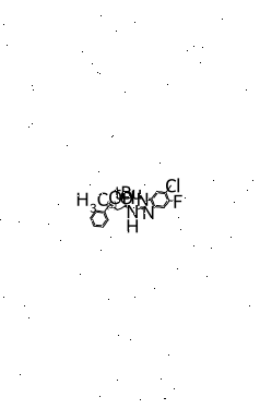 CC(C)(C)n1c(NC(=O)C[C@](C)(O)c2ccccc2)nc2cc(F)c(Cl)cc21